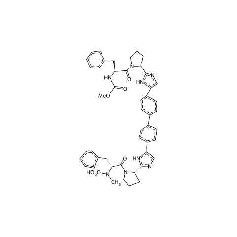 COC(=O)N[C@@H](Cc1ccccc1)C(=O)N1CCCC1c1ncc(-c2ccc(-c3ccc(-c4cnc([C@@H]5CCCN5C(=O)[C@@H](Cc5ccccc5)N(C)C(=O)O)[nH]4)cc3)cc2)[nH]1